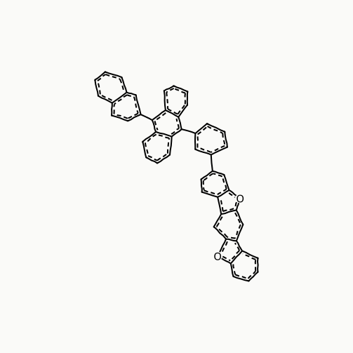 c1cc(-c2ccc3c(c2)oc2cc4c(cc23)oc2ccccc24)cc(-c2c3ccccc3c(-c3ccc4ccccc4c3)c3ccccc23)c1